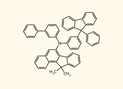 CC1(C)c2ccccc2-c2c(N(c3cccc(-c4ccccc4)c3)c3cccc(C4(c5ccccc5)c5ccccc5-c5ccccc54)c3)cc3ccccc3c21